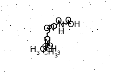 CC(C)(C)OC(=O)N1CCC(CCC(=O)N2CCC(C(=O)NCCC(=O)O)CC2)CC1